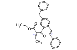 C/C=C(/C(=O)OCC)C(=O)c1cc(Cc2ccccc2)ccc1/C=C/c1ccccc1